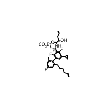 C=CCCCCc1cc(F)cc(C)c1-c1cc(C2CC2)c(F)c([C@H](CC(=O)OCC)NC(=O)[C@H](O)CC=C)c1F